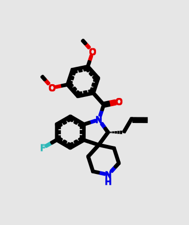 C=CC[C@H]1N(C(=O)c2cc(OC)cc(OC)c2)c2ccc(F)cc2C12CCNCC2